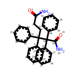 NC(=O)CCC(c1ccccc1)(c1ccccc1)C(C(N)=O)(c1ccccc1)c1ccccc1